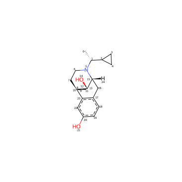 C[C@H](C1CC1)N1CC[C@]23CCCC[C@@]2(O)[C@H]1Cc1ccc(O)cc13